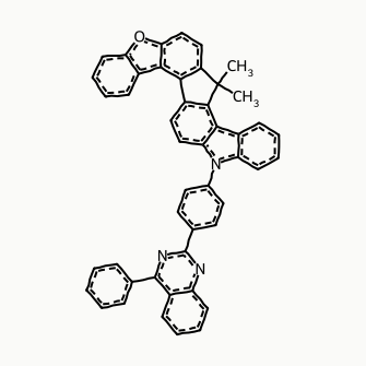 CC1(C)c2ccc3oc4ccccc4c3c2-c2ccc3c(c21)c1ccccc1n3-c1ccc(-c2nc(-c3ccccc3)c3ccccc3n2)cc1